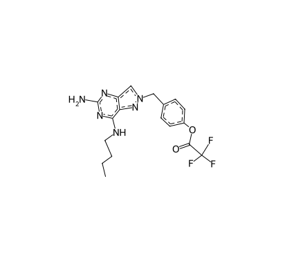 CCCCNc1nc(N)nc2cn(Cc3ccc(OC(=O)C(F)(F)F)cc3)nc12